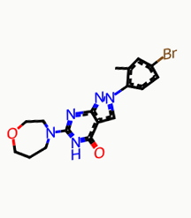 Cc1cc(Br)ccc1-n1cc2c(=O)[nH]c(N3CCCOCC3)nc2n1